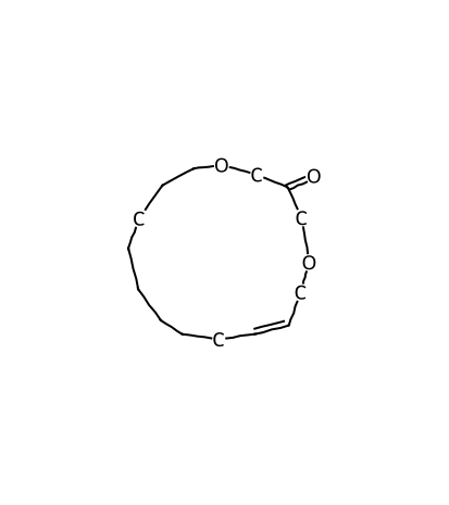 O=C1COCC=CCCCCCCCCOC1